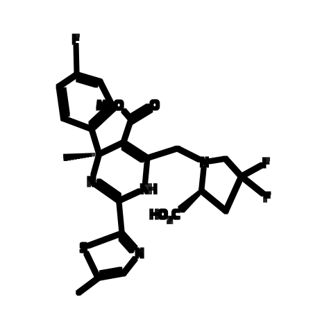 COC(=O)C1=C(CN2CC(F)(F)C[C@H]2C(=O)O)NC(c2ncc(C)s2)=N[C@@]1(C)c1ccc(F)cc1